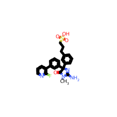 CN1C(=O)C(c2cccc(CCCS(=O)(=O)O)c2)(c2cccc(-c3cccnc3F)c2)N=C1N